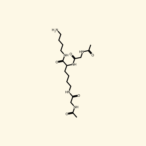 CC(=O)NCC(=O)NCCCCC(NC(=O)CNC(C)=O)C(=O)NCCCCN